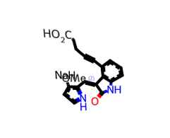 COc1cc[nH]c1/C=C1\C(=O)Nc2cccc(C#CCCC(=O)O)c21.[NaH]